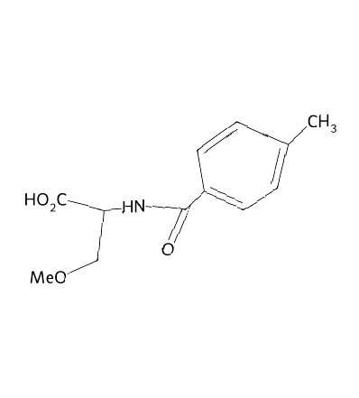 COCC(NC(=O)c1ccc(C)cc1)C(=O)O